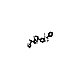 O=C(Nc1cc(-c2ccnc3c(C(=O)c4cccs4)cnn23)ccc1Cl)c1ccccc1